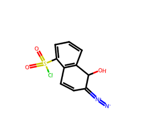 [N-]=[N+]=C1C=Cc2c(cccc2S(=O)(=O)Cl)C1O